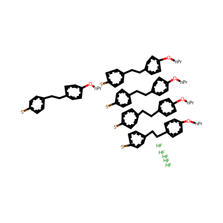 CCCOc1ccc(CCc2ccc([S])cc2)cc1.CCCOc1ccc(CCc2ccc([S])cc2)cc1.CCCOc1ccc(CCc2ccc([S])cc2)cc1.CCCOc1ccc(CCc2ccc([S])cc2)cc1.CCCOc1ccc(CCc2ccc([S])cc2)cc1.F.F.F.F.F